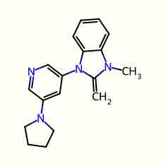 C=C1N(C)c2ccccc2N1c1cncc(N2CCCC2)c1